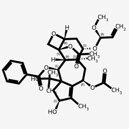 C=C[C@H](OC)O[C@H]1C[C@H]2OC[C@@]2(OC(C)=O)[C@H]2[C@H](OC(=O)c3ccccc3)C3(C(C)(C)O)C[C@H](O)C(C)=C3[C@H](OC(C)=O)C[C@]12C